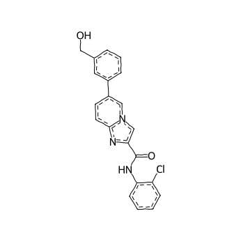 O=C(Nc1ccccc1Cl)c1cn2cc(-c3cccc(CO)c3)ccc2n1